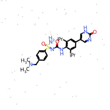 CC(C)c1cc(-c2cnc(=O)[nH]c2)cc(C(C)C)c1NC(=O)N=S(N)(=O)c1ccc(CN(C)C)cc1